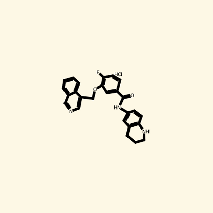 Cl.O=C(Nc1ccc2c(c1)CCCN2)c1ccc(F)c(OCc2cncc3ccccc23)c1